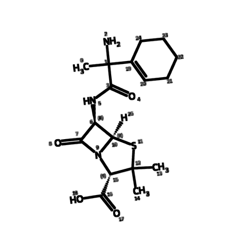 CC(N)(C(=O)N[C@@H]1C(=O)N2[C@@H]1SC(C)(C)[C@@H]2C(=O)O)C1=CCCCC1